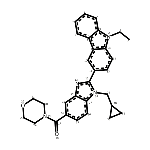 CCn1c2ccccc2c2cc(-c3nc4cc(C(=O)N5CCOCC5)ccc4n3CC3CC3)ccc21